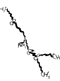 CCCCCCCCCOC(=O)CCCCCCCN(CCCN)CCCCCCOC(=O)CCC(OCCCCCCCC)OCCCCCCCC